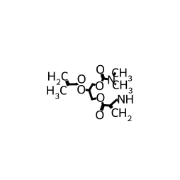 C=C(C)C(=O)OC(COC(=O)C(=C)C=N)COC(=O)N(C)C